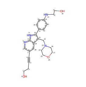 OCCC#Cc1cnc2[nH]c(-c3ccc(NCCO)cc3)c(CN3CCOCC3)c2c1